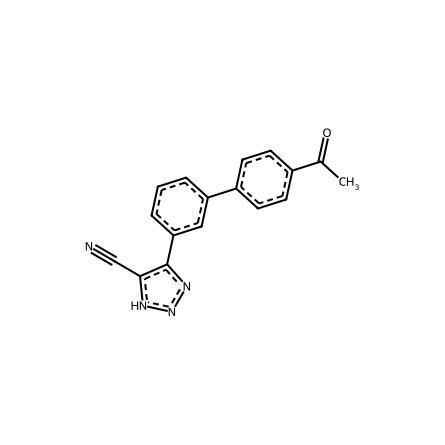 CC(=O)c1ccc(-c2cccc(-c3nn[nH]c3C#N)c2)cc1